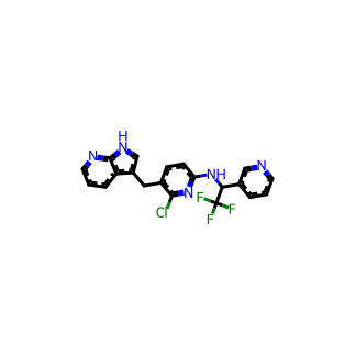 FC(F)(F)C(Nc1ccc(Cc2c[nH]c3ncccc23)c(Cl)n1)c1cccnc1